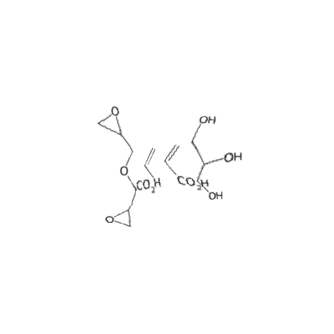 C(OCC1CO1)C1CO1.C=CC(=O)O.C=CC(=O)O.OCC(O)CO